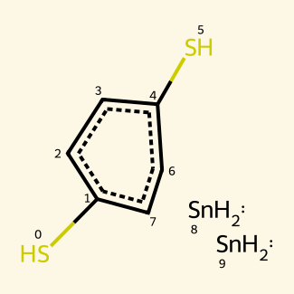 Sc1ccc(S)cc1.[SnH2].[SnH2]